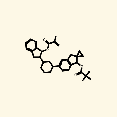 C=C(C)C(=O)OC1c2ccccc2CC1C1CCCC(c2ccc3c(c2)CC2(CC2)C3OC(=O)C(C)(C)C)C1